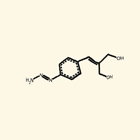 NN=Nc1ccc(C=C(CO)CO)cc1